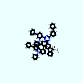 CC1(C)c2ccccc2-c2ccc(-c3nc(-c4cccc(-c5ccccc5)c4)nc(-c4ccc(-c5ccccc5)cc4-n4c5ccccc5c5c(-c6cccc7c6c6ccc(-c8ccccc8)cc6n7-c6ccccc6)cccc54)n3)cc21